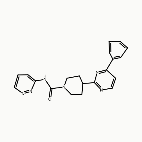 O=C(Nc1cccnn1)N1CCC(c2nccc(-c3ccccc3)n2)CC1